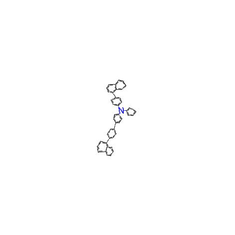 c1ccc(N(c2ccc(-c3ccc(-c4cccc5ccccc45)cc3)cc2)c2ccc(-c3cccc4ccccc34)cc2)cc1